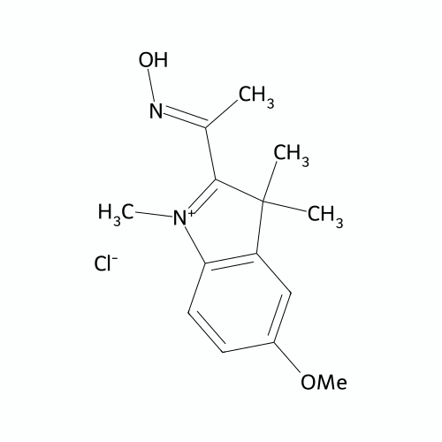 COc1ccc2c(c1)C(C)(C)C(C(C)=NO)=[N+]2C.[Cl-]